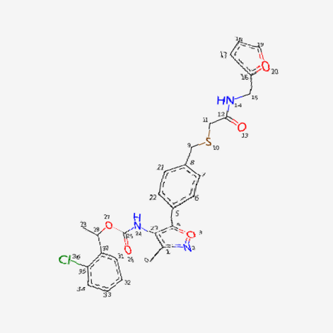 Cc1noc(-c2ccc(CSCC(=O)NCc3ccco3)cc2)c1NC(=O)OC(C)c1ccccc1Cl